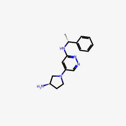 C[C@@H](Nc1cc(N2CC[C@@H](N)C2)cnn1)c1ccccc1